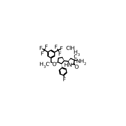 C[C@@H](O[C@H]1CC[C@@H]([C@H]2C[C@@](C)(N)C(=O)N2)[C@@H]1c1ccc(F)cc1)c1cc(C(F)(F)F)cc(C(F)(F)F)c1.Cl